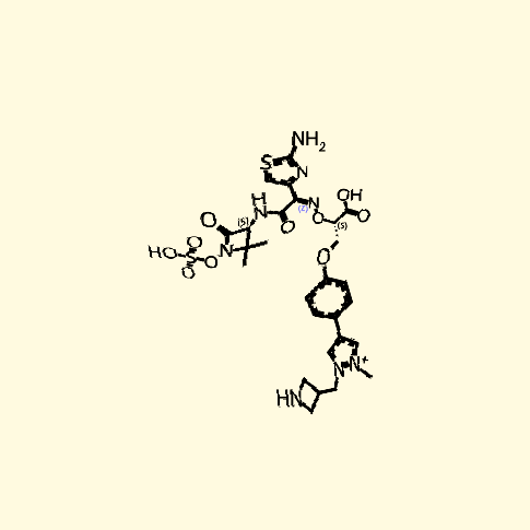 C[n+]1cc(-c2ccc(OC[C@H](O/N=C(\C(=O)N[C@@H]3C(=O)N(OS(=O)(=O)O)C3(C)C)c3csc(N)n3)C(=O)O)cc2)cn1CC1CNC1